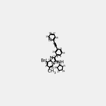 Cc1cc(Br)c2nc(-c3cccc(C#Cc4ccccn4)c3)c(NC3CCCC3)n2c1